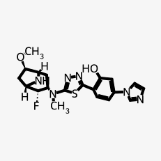 CO[C@@H]1C[C@@H]2N[C@H]1C[C@@H](N(C)c1nnc(-c3ccc(-n4ccnc4)cc3O)s1)[C@@H]2F